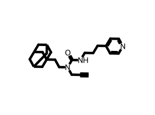 C#CCN(CCC12CC3CC(CC(C3)C1)C2)C(=O)NCCCc1ccncc1